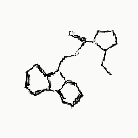 CCC1CCCN1C(=O)OCC1c2ccccc2-c2ccccc21